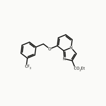 CCOC(=O)c1cn2cccc(OCc3cccc(C(F)(F)F)c3)c2n1